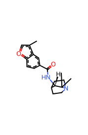 Cc1coc2ccc(C(=O)N[C@H]3C4CCN(CC4)C3(C)C)cc12